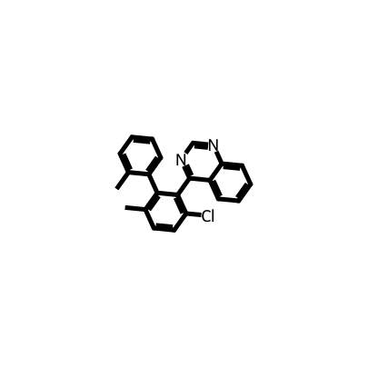 Cc1ccccc1-c1c(C)ccc(Cl)c1-c1ncnc2ccccc12